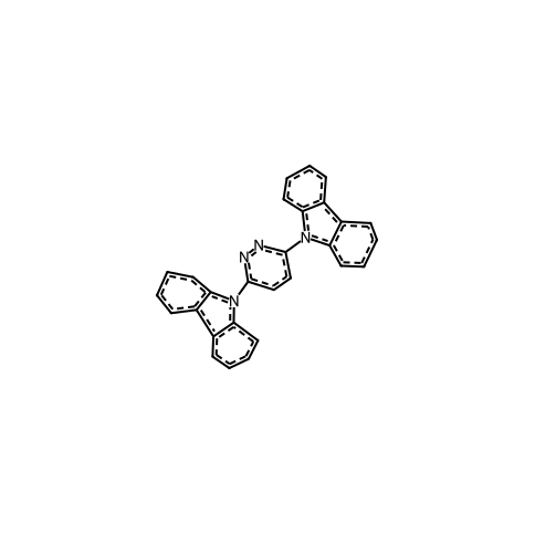 c1ccc2c(c1)c1ccccc1n2-c1ccc(-n2c3ccccc3c3ccccc32)nn1